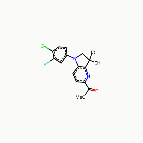 CCC1(C)CN(c2ccc(Cl)c(F)c2)c2ccc(C(=O)OC)nc21